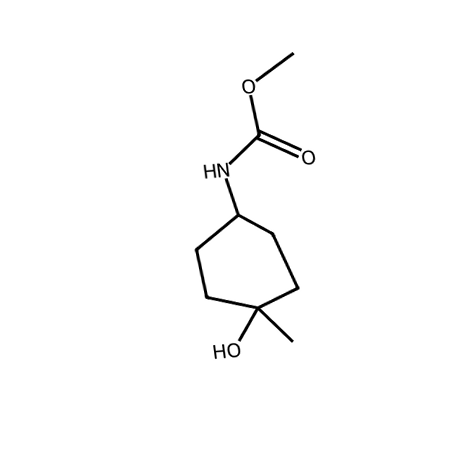 COC(=O)NC1CCC(C)(O)CC1